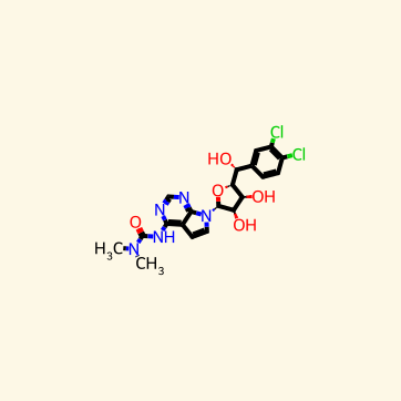 CN(C)C(=O)Nc1ncnc2c1ccn2[C@@H]1O[C@H]([C@H](O)c2ccc(Cl)c(Cl)c2)[C@@H](O)[C@H]1O